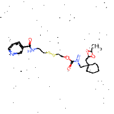 CC1OC(CC2(CNC(=O)OCCSSCCNC(=O)c3cccnc3)CCCCC2)O1